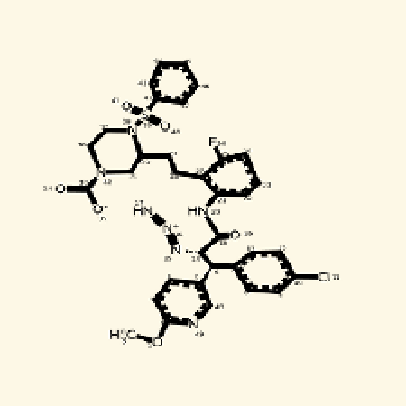 COc1ccc([C@H](c2ccc(Cl)cc2)[C@H](N=[N+]=N)C(=O)Nc2cccc(F)c2CCC2CN(C(=O)[O-])CCN2S(=O)(=O)c2ccccc2)cn1